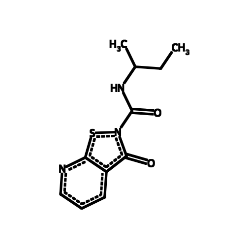 CCC(C)NC(=O)n1sc2ncccc2c1=O